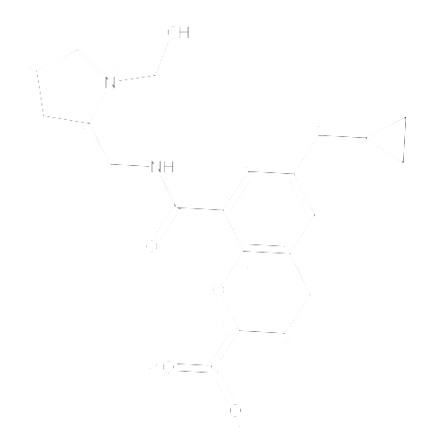 CCN1CCCC1CNC(=O)c1cc(CC2CC2)cc2c1OC(=S(=O)=O)CC2